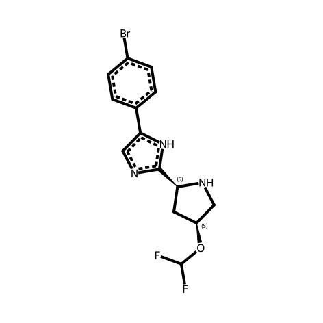 FC(F)O[C@@H]1CN[C@H](c2ncc(-c3ccc(Br)cc3)[nH]2)C1